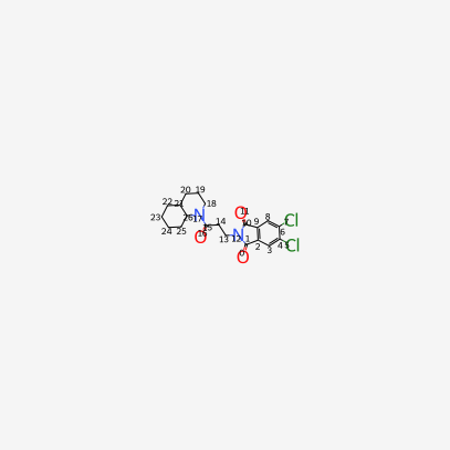 O=C1c2cc(Cl)c(Cl)cc2C(=O)N1CCC(=O)N1CCCC2CCCCC21